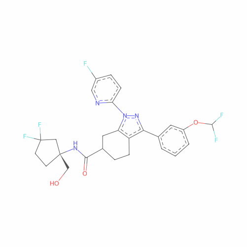 O=C(N[C@]1(CO)CCC(F)(F)C1)C1CCc2c(-c3cccc(OC(F)F)c3)nn(-c3ccc(F)cn3)c2C1